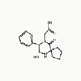 Cl.O=C(O)CN1C(=O)C2(CCCC2)NCC1c1ccccc1